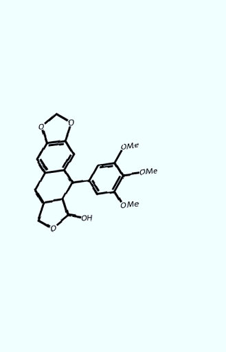 COc1cc(C2c3cc4c(cc3CC3COC(O)C32)OCO4)cc(OC)c1OC